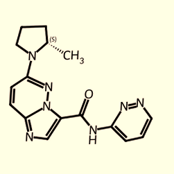 C[C@H]1CCCN1c1ccc2ncc(C(=O)Nc3cccnn3)n2n1